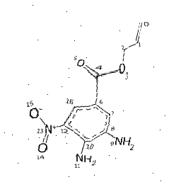 C=CCOC(=O)c1cc(N)c(N)c([N+](=O)[O-])c1